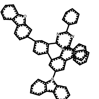 c1ccc(-c2nc(-c3ccccc3)nc(-c3cc(-c4ccc5c(c4)oc4ccccc45)ccc3-c3cc(-n4c5ccccc5c5ccccc54)cc4c3sc3ccccc34)n2)cc1